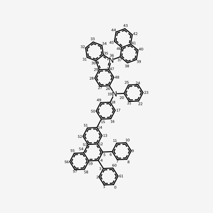 c1ccc(-c2c(-c3ccccc3)c3cc(-c4ccc(N(c5ccccc5)c5ccc6c7ccccc7n(-c7cccc8ccccc78)c6c5)cc4)ccc3c3ccccc23)cc1